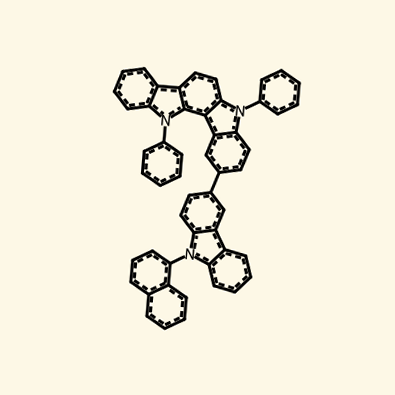 c1ccc(-n2c3ccc(-c4ccc5c(c4)c4ccccc4n5-c4cccc5ccccc45)cc3c3c2ccc2c4ccccc4n(-c4ccccc4)c23)cc1